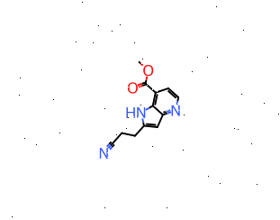 COC(=O)c1ccnc2cc(CCC#N)[nH]c12